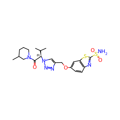 CC1CCCN(C(=O)[C@@H](C(C)C)n2cc(COc3ccc4nc(S(N)(=O)=O)sc4c3)nn2)C1